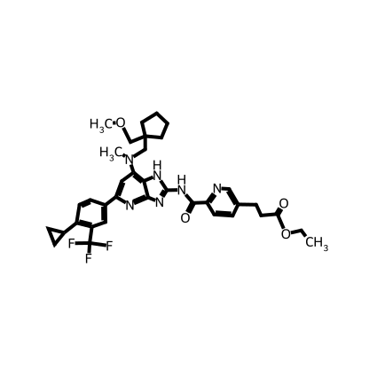 CCOC(=O)CCc1ccc(C(=O)Nc2nc3nc(-c4ccc(C5CC5)c(C(F)(F)F)c4)cc(N(C)CC4(COC)CCCC4)c3[nH]2)nc1